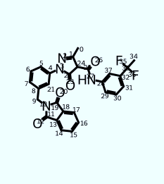 CC1=NN(c2cccc(CN3C(=O)c4ccccc4C3=O)c2)C(=O)C1C(=O)Nc1cccc(C(C)(F)F)c1